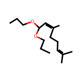 CCCOC(C=C(C)CCC=C(C)C)OCCC